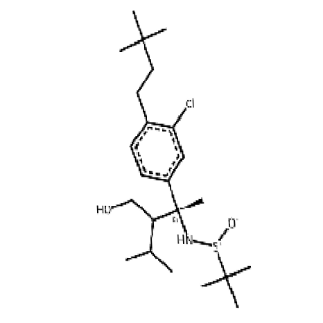 CC(C)C(CO)[C@@](C)(N[S+]([O-])C(C)(C)C)c1ccc(CCC(C)(C)C)c(Cl)c1